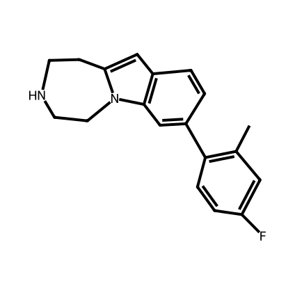 Cc1cc(F)ccc1-c1ccc2cc3n(c2c1)CCNCC3